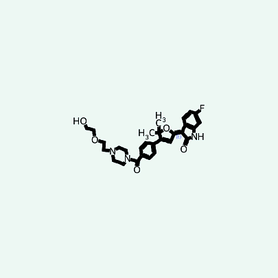 CC1(C)O/C(=C2/C(=O)Nc3cc(F)ccc32)C=C1c1ccc(C(=O)N2CCN(CCOCCO)CC2)cc1